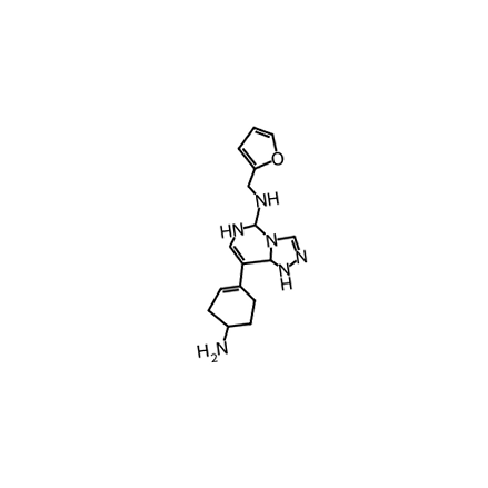 NC1CC=C(C2=CNC(NCc3ccco3)N3C=NNC23)CC1